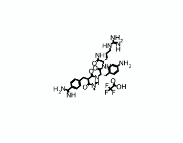 CN(C)C(=O)C(Cc1ccc(C(=N)N)cc1)C(=O)N[C@@H](Cc1ccc(N)cc1)C(=O)N[C@@H](CCCNC(=N)N)C(N)=O.O=C(O)C(F)(F)F